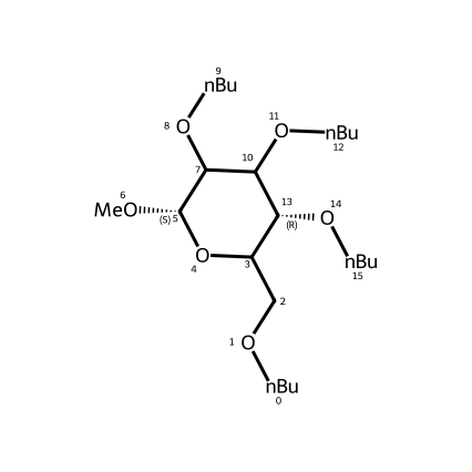 CCCCOCC1O[C@H](OC)C(OCCCC)C(OCCCC)[C@@H]1OCCCC